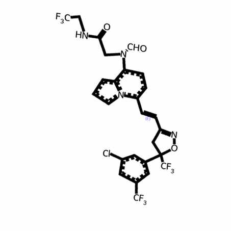 O=CN(CC(=O)NCC(F)(F)F)c1ccc(/C=C/C2=NOC(c3cc(Cl)cc(C(F)(F)F)c3)(C(F)(F)F)C2)n2cccc12